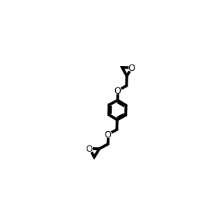 c1cc(OCC2CO2)ccc1COCC1CO1